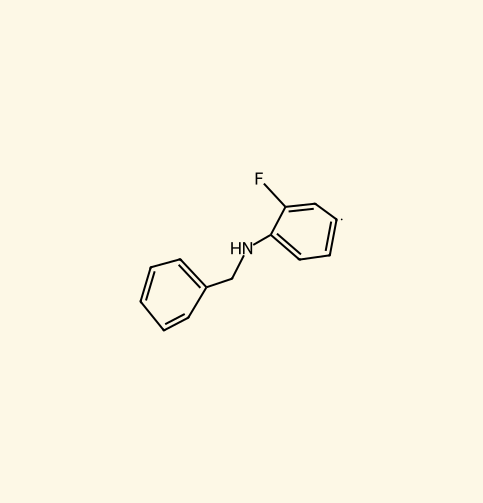 Fc1c[c]ccc1NCc1ccccc1